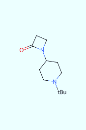 CC(C)(C)N1CCC(N2CCC2=O)CC1